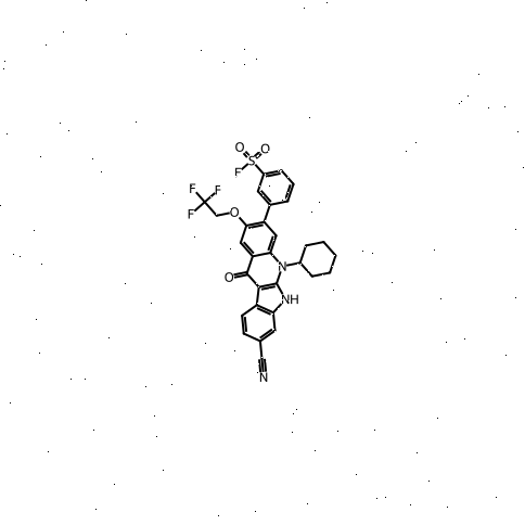 N#Cc1ccc2c(c1)[nH]c1c2c(=O)c2cc(OCC(F)(F)F)c(-c3cccc(S(=O)(=O)F)c3)cc2n1C1CCCCC1